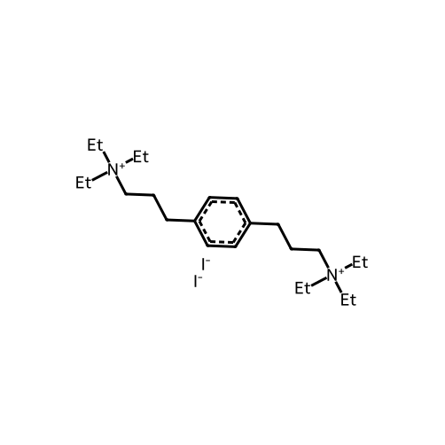 CC[N+](CC)(CC)CCCc1ccc(CCC[N+](CC)(CC)CC)cc1.[I-].[I-]